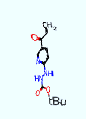 C=CC(=O)c1ccc(NNC(=O)OC(C)(C)C)nc1